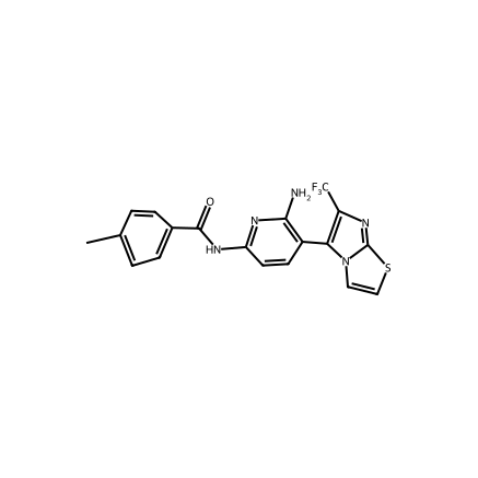 Cc1ccc(C(=O)Nc2ccc(-c3c(C(F)(F)F)nc4sccn34)c(N)n2)cc1